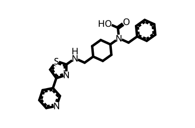 O=C(O)N(Cc1ccccc1)C1CCC(CNc2nc(-c3cccnc3)cs2)CC1